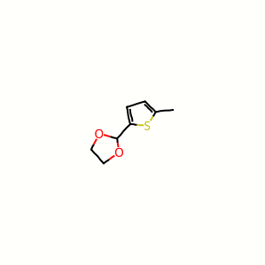 Cc1ccc(C2OCCO2)s1